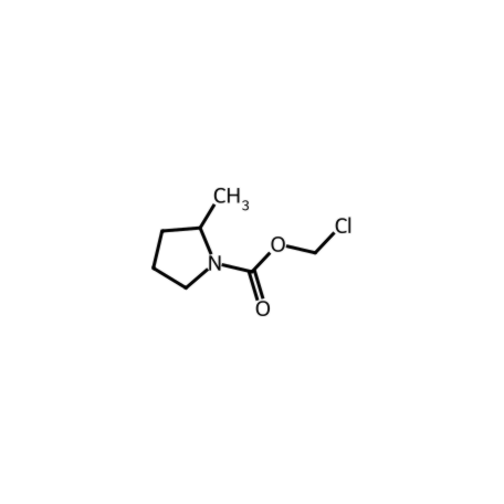 CC1CCCN1C(=O)OCCl